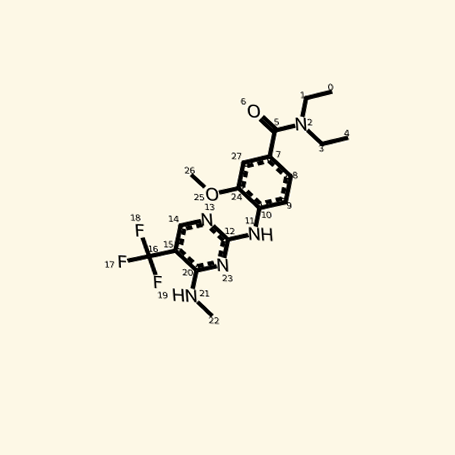 CCN(CC)C(=O)c1ccc(Nc2ncc(C(F)(F)F)c(NC)n2)c(OC)c1